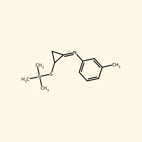 Cc1cccc(/N=C2/CC2S[Si](C)(C)C)c1